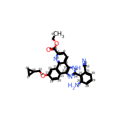 CCOC(=O)c1ccc2c(n1)c1cc(OCC3CC3)ccc1c1nc(-c3c(N)cccc3C#N)[nH]c21